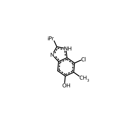 Cc1c(O)cc2nc(C(C)C)[nH]c2c1Cl